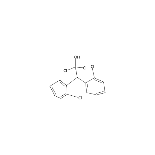 OC(Cl)(Cl)C(c1ccccc1Cl)c1ccccc1Cl